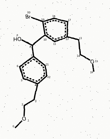 COCCc1ccc(C(O)c2cc(CCOC)ccc2Br)cc1